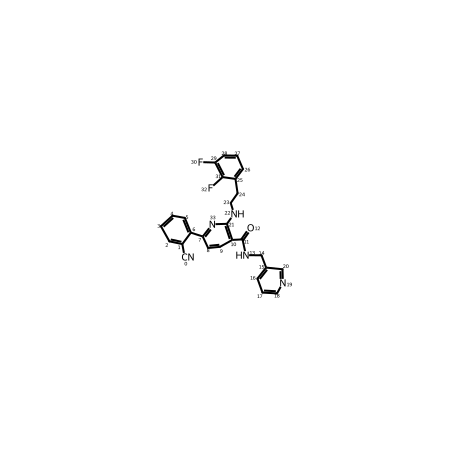 N#Cc1ccccc1-c1ccc(C(=O)NCc2cccnc2)c(NCCc2cccc(F)c2F)n1